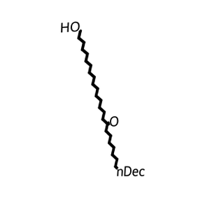 CCCCCCCCCCCCCCCCCC(=O)CCCCCCCCCCCCCCCCO